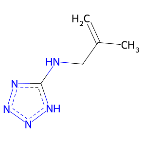 C=C(C)CNc1nnn[nH]1